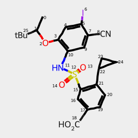 CC(Oc1cc(I)c(C#N)cc1NS(=O)(=O)c1cc(C(=O)O)ccc1C1CC1)C(C)(C)C